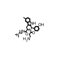 Cc1ccc2[nH]c3c(c2c1)CC(C(=O)NCCN(C)C)N(C(=O)CCN)C3c1cccc(O)c1